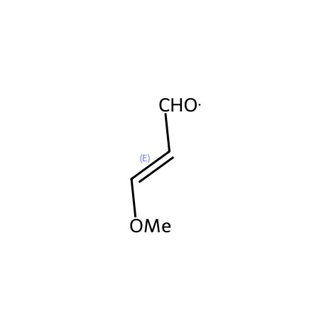 CO/C=C/[C]=O